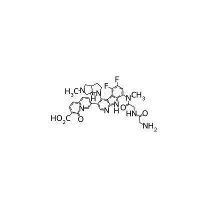 CN1CC2CCN(c3c(-c4ccc5ccc(C(=O)O)c(=O)n5c4)cnc4[nH]c5c(N(C)C(=O)CNC(=O)CN)cc(F)c(F)c5c34)[C@@H]2C1